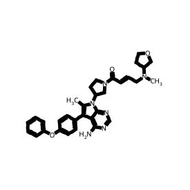 Cc1c(-c2ccc(Oc3ccccc3)cc2)c2c(N)ncnc2n1C1CCN(C(=O)C=CCN(C)C2CCOC2)C1